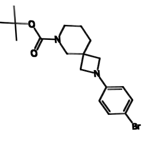 CC(C)(C)OC(=O)N1CCCC2(C1)CN(c1ccc(Br)cc1)C2